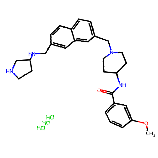 COc1cccc(C(=O)NC2CCN(Cc3ccc4ccc(CNC5CCNC5)cc4c3)CC2)c1.Cl.Cl.Cl